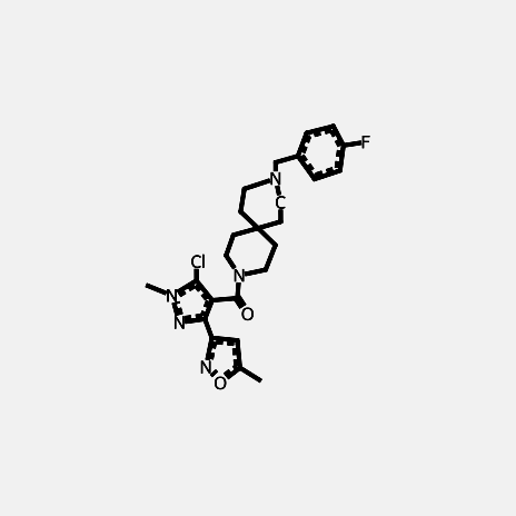 Cc1cc(-c2nn(C)c(Cl)c2C(=O)N2CCC3(CCN(Cc4ccc(F)cc4)CC3)CC2)no1